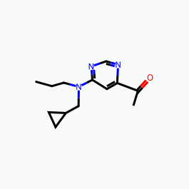 CCCN(CC1CC1)c1cc(C(C)=O)ncn1